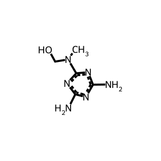 CN(CO)c1nc(N)nc(N)n1